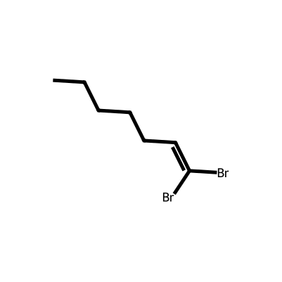 CCCCCC=C(Br)Br